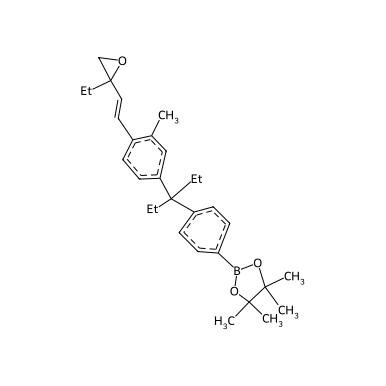 CCC1(/C=C/c2ccc(C(CC)(CC)c3ccc(B4OC(C)(C)C(C)(C)O4)cc3)cc2C)CO1